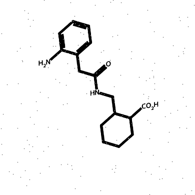 Nc1ccccc1CC(=O)NCC1CCCCC1C(=O)O